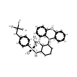 CN=S(=O)(NC1CCCC(N2c3ccccc3Oc3ccccc32)C1O)c1ccc(CC(F)(F)F)cc1